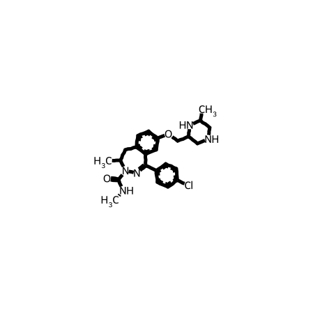 CNC(=O)N1N=C(c2ccc(Cl)cc2)c2cc(OCC3CNCC(C)N3)ccc2CC1C